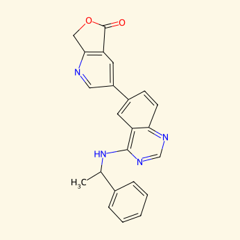 CC(Nc1ncnc2ccc(-c3cnc4c(c3)C(=O)OC4)cc12)c1ccccc1